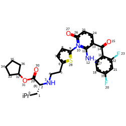 CC(C)C[C@@H](NCCc1ccc(-n2c(N)c(C(=O)c3ccc(F)cc3F)ccc2=O)s1)C(=O)OC1CCCC1